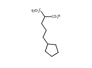 CCOC(=O)C(CCCC1CCCC1)C(=O)O